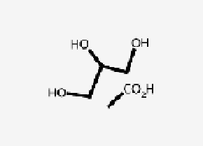 CC(=O)O.OCC(O)CO